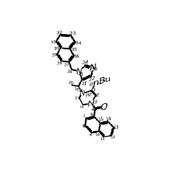 CCCC[C@H]1CN(C(=O)c2cccc3ccccc23)CCN1C(C)c1cncn1Cc1ccc2ccccc2c1